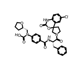 O=C1Nc2ccc(Cl)cc2C2(CCN(C(=O)[C@H](Cc3ccccc3)NC(=O)c3ccc(N(C[C@@H]4CCCO4)C(=O)O)cc3)C2)O1